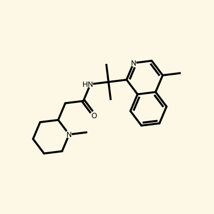 Cc1cnc(C(C)(C)NC(=O)CC2CCCCN2C)c2ccccc12